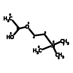 CC(O)OCC[Si](C)(C)C